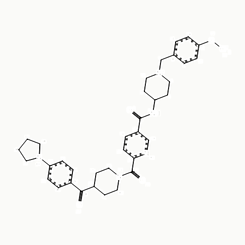 O=C(NC1CCN(Cc2ccc(OC(F)(F)F)cc2)CC1)c1ccc(C(=O)N2CCC(C(=O)c3ccc(N4CCCC4)cc3)CC2)nc1